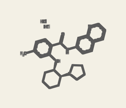 Cl.Cl.O=C(Nc1ccc2cccnc2c1)c1ccc(C(F)(F)F)cc1N[C@@H]1CCCC[C@@H]1N1CCCC1